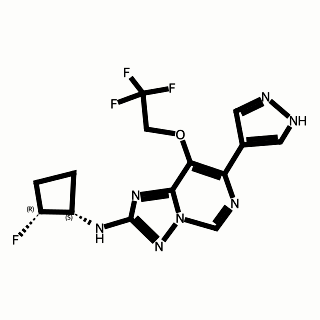 F[C@@H]1CC[C@@H]1Nc1nc2c(OCC(F)(F)F)c(-c3cn[nH]c3)ncn2n1